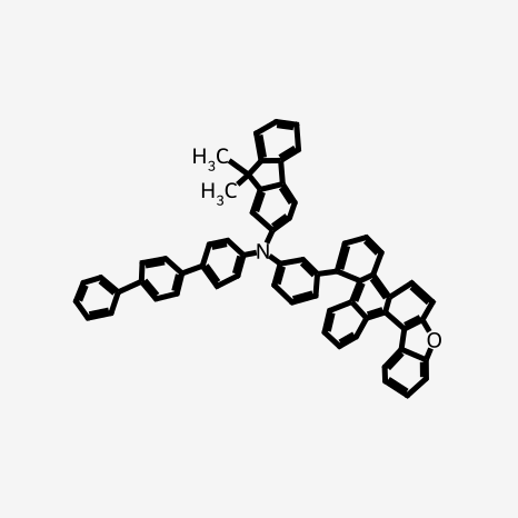 CC1(C)c2ccccc2-c2ccc(N(c3ccc(-c4ccc(-c5ccccc5)cc4)cc3)c3cccc(-c4cccc5c6ccc7oc8ccccc8c7c6c6ccccc6c45)c3)cc21